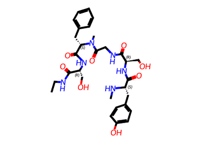 CCNC(=O)[C@@H](CO)NC(=O)[C@H](Cc1ccccc1)N(C)C(=O)CNC(=O)[C@@H](CO)NC(=O)[C@H](Cc1ccc(O)cc1)NC